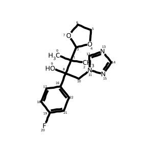 CC(C)(C1OCCO1)C(O)(Cn1cncn1)c1ccc(F)cc1